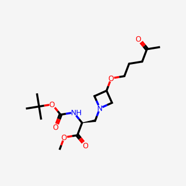 COC(=O)[C@H](CN1CC(OCCCC(C)=O)C1)NC(=O)OC(C)(C)C